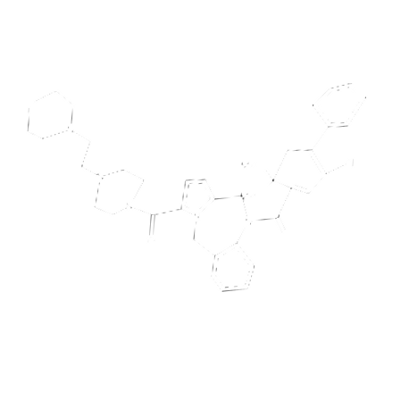 COC1(OC)CC(c2ccccc2)=C(Cl)C=C1C(=O)N1Cc2ccc(C(=O)N3CCN(CCN4CCOCC4)CC3)n2Cc2ccccc21